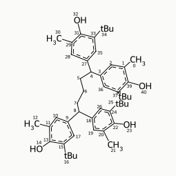 Cc1cc(C(CCCC(c2cc(C)c(O)c(C(C)(C)C)c2)c2cc(C)c(O)c(C(C)(C)C)c2)c2cc(C)c(O)c(C(C)(C)C)c2)cc(C(C)(C)C)c1O